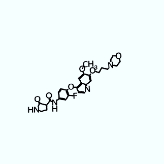 COc1cc2c(Oc3ccc(NC(=O)C4CCNC4=O)cc3F)ccnc2cc1OCCCN1CCOCC1